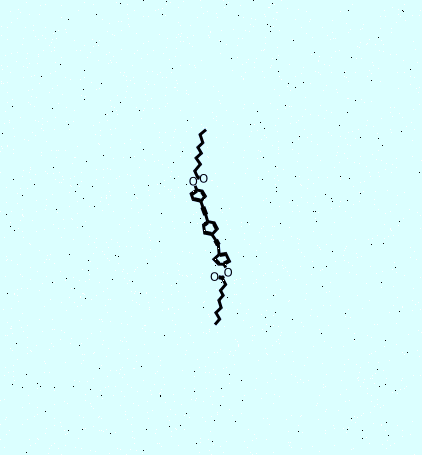 CCCCCCCCC(=O)Oc1ccc(C#Cc2ccc(C#Cc3ccc(OC(=O)CCCCCCCC)cc3)cc2)cc1